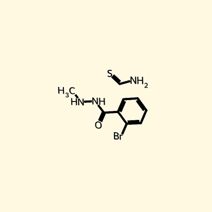 CNNC(=O)c1ccccc1Br.NC=S